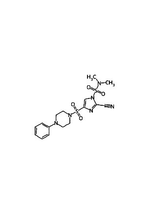 CN(C)S(=O)(=O)n1cc(S(=O)(=O)N2CCN(c3ccccc3)CC2)nc1C#N